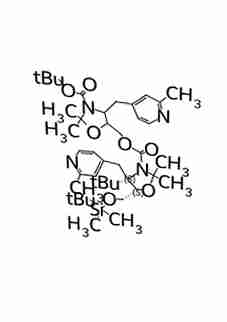 Cc1cc(CC2C(COC(=O)N3C(C)(C)O[C@H](CO[Si](C)(C)C(C)(C)C)[C@]3(Cc3ccnc(C)c3)C(C)(C)C)OC(C)(C)N2C(=O)OC(C)(C)C)ccn1